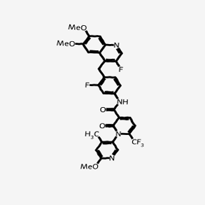 COc1cc(C)c(-n2c(C(F)(F)F)ccc(C(=O)Nc3ccc(Cc4c(F)cnc5cc(OC)c(OC)cc45)c(F)c3)c2=O)cn1